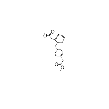 COC(=O)Cc1ccc(Cc2ccccc2CC(=O)OC)cc1